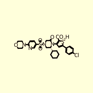 O=C(O)c1sc(-c2ccc(Cl)cc2)cc1N1C(=O)CN(S(=O)(=O)c2ccc(N3CCOCC3)nc2)C[C@H]1C1CCCCC1